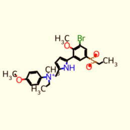 CC[N+](C)(Cc1ccc(-c2cc(S(=O)(=O)CC)cc(Br)c2OC)[nH]1)c1ccc(OC)cc1